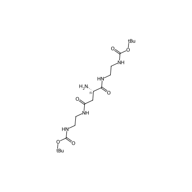 CC(C)(C)OC(=O)NCCNC(=O)C[C@H](N)C(=O)NCCNC(=O)OC(C)(C)C